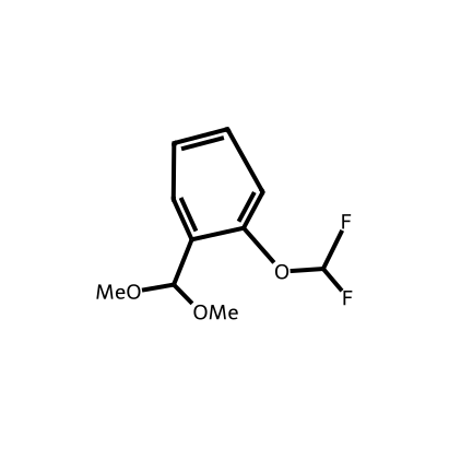 COC(OC)c1ccccc1OC(F)F